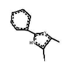 Cc1nc(-c2ccccc2)[nH]c1I